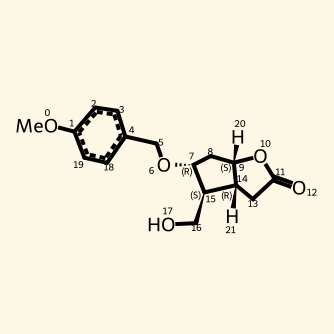 COc1ccc(CO[C@@H]2C[C@@H]3OC(=O)C[C@@H]3[C@H]2CO)cc1